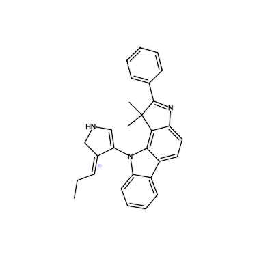 CC/C=C1\CNC=C1n1c2ccccc2c2ccc3c(c21)C(C)(C)C(c1ccccc1)=N3